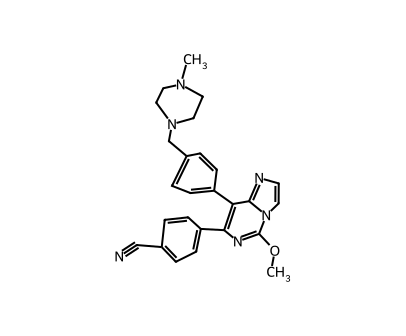 COc1nc(-c2ccc(C#N)cc2)c(-c2ccc(CN3CCN(C)CC3)cc2)c2nccn12